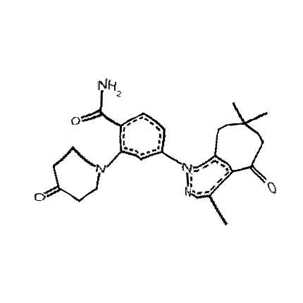 Cc1nn(-c2ccc(C(N)=O)c(N3CCC(=O)CC3)c2)c2c1C(=O)CC(C)(C)C2